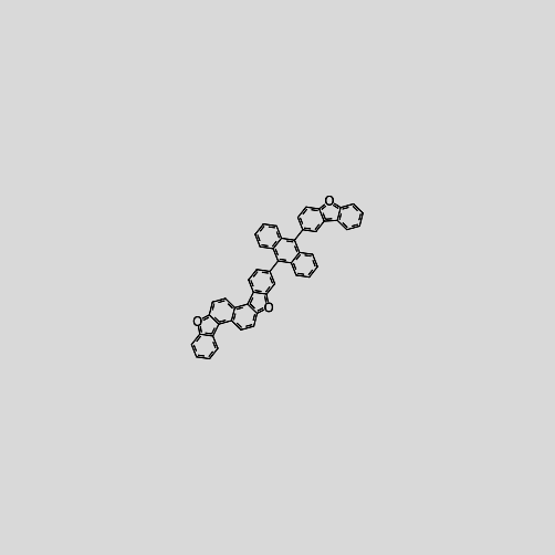 c1ccc2c(c1)oc1ccc(-c3c4ccccc4c(-c4ccc5c(c4)oc4ccc6c(ccc7oc8ccccc8c76)c45)c4ccccc34)cc12